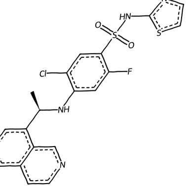 C[C@@H](Nc1cc(F)c(S(=O)(=O)Nc2nccs2)cc1Cl)c1cccc2ccncc12